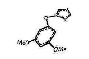 COc1cc(OC)cc(On2c[c]cn2)c1